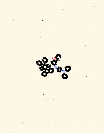 c1ccc(N(c2ccccc2)c2ccc(N(c3ccc4c(c3)C3(c5ccccc5-4)c4ccccc4C(c4ccccc4)(c4ccccc4)c4ccccc43)c3ccc4oc5ccccc5c4c3)cc2)cc1